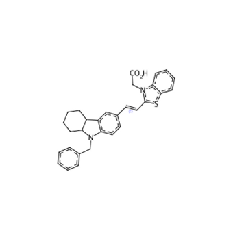 O=C(O)C[n+]1c(/C=C/c2ccc3c(c2)C2CCCCC2N3Cc2ccccc2)sc2ccccc21